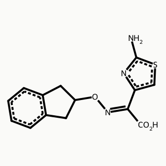 Nc1nc(C(=NOC2Cc3ccccc3C2)C(=O)O)cs1